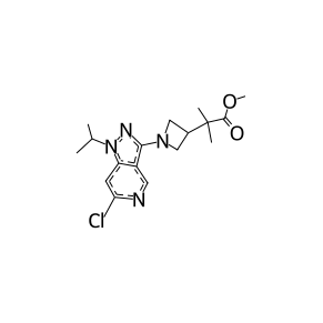 COC(=O)C(C)(C)C1CN(c2nn(C(C)C)c3cc(Cl)ncc23)C1